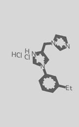 CCc1cccc(-n2cnc(Cn3ccnc3)c2)c1.Cl.Cl